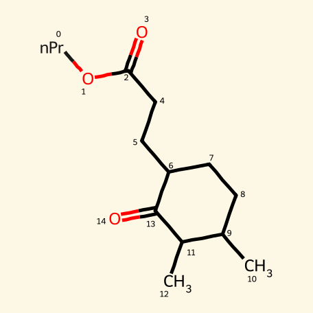 CCCOC(=O)CCC1CCC(C)C(C)C1=O